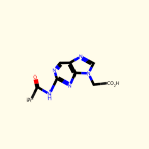 CC(C)C(=O)Nc1ncc2ncn(CC(=O)O)c2n1